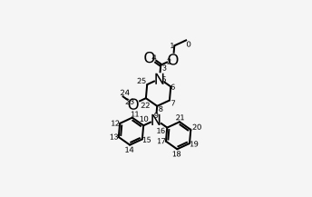 CCOC(=O)N1CCC(N(c2ccccc2)c2ccccc2)C(OC)C1